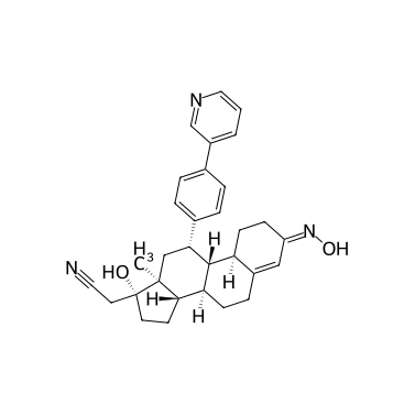 C[C@]12C[C@H](c3ccc(-c4cccnc4)cc3)[C@H]3[C@@H](CCC4=C/C(=N\O)CC[C@@H]43)[C@@H]1CC[C@@]2(O)CC#N